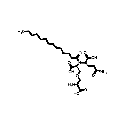 CCCCCCCCCCCCCC(=O)N([C@H](CCC(N)=O)C(=O)O)[C@@H](COC[C@@H](N)C(=O)O)C(=O)O